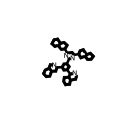 c1ccc2cc(-c3cc(-c4ccc5ccccc5c4)nc(-c4cc(-c5cc6ccccc6cn5)cc(-c5nccc6ccccc56)c4)n3)ccc2c1